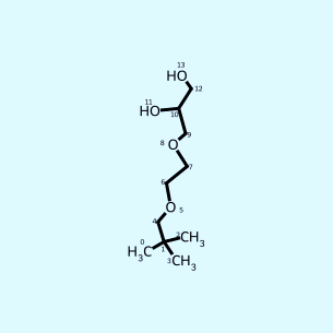 CC(C)(C)COCCOCC(O)CO